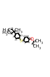 CC[C@@H](C)Oc1ccc(Sc2ccc(C(C)(CC)CC)cc2)cc1